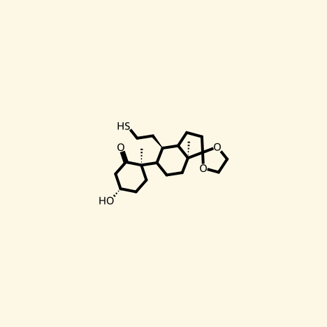 C[C@]1(C2CC[C@@]3(C)C(CCC34OCCO4)[C@@H]2CCS)CC[C@H](O)CC1=O